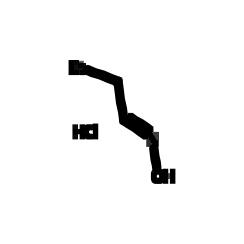 CCCC=NO.Cl